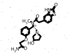 CN(C(=O)Cc1ccc2sc(=O)[nH]c2c1)[C@H](CN1CCC(O)C1)c1cccc(OCC(N)=O)c1